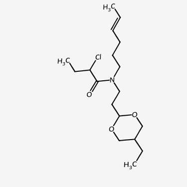 CC=CCCCN(CCC1OCC(CC)CO1)C(=O)C(Cl)CC